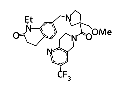 CCN1C(=O)CCc2ccc(CN3CCC(COC)(C(=O)N4CCc5ncc(C(F)(F)F)cc5C4)C3)cc21